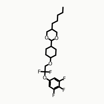 CCCCCC1COC(C2CCC(OCC(F)(F)Oc3cc(F)c(F)c(F)c3)CC2)OC1